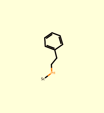 [Sc][PH]CCc1ccccc1